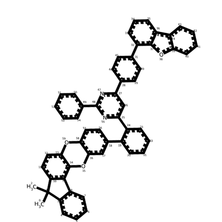 CC1(C)c2ccccc2-c2c1ccc1c2Oc2cc(-c3ccccc3-c3cc(-c4ccc(-c5cccc6c5oc5ccccc56)cc4)nc(-c4ccccc4)n3)ccc2O1